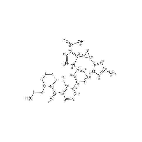 CCCC1CCCCN1C(=O)c1cccc(-c2cccc(-n3ncc(C(=O)O)c3C3CC3c3cc(C)no3)c2)c1F